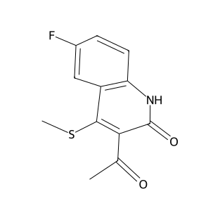 CSc1c(C(C)=O)c(=O)[nH]c2ccc(F)cc12